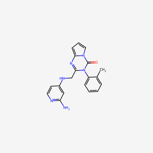 Cc1ccccc1-n1c(CNc2ccnc(N)c2)nc2cccn2c1=O